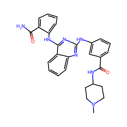 CN1CCC(NC(=O)c2cccc(Nc3nc(Nc4ccccc4C(N)=O)c4ccccc4n3)c2)CC1